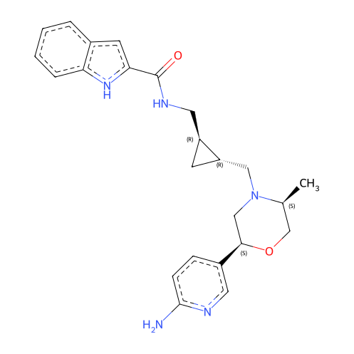 C[C@H]1CO[C@@H](c2ccc(N)nc2)CN1C[C@@H]1C[C@H]1CNC(=O)c1cc2ccccc2[nH]1